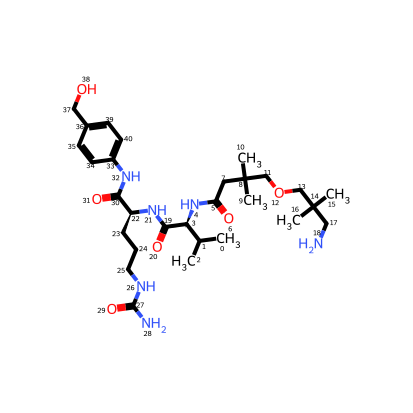 CC(C)[C@H](NC(=O)CC(C)(C)COCC(C)(C)CN)C(=O)N[C@@H](CCCNC(N)=O)C(=O)Nc1ccc(CO)cc1